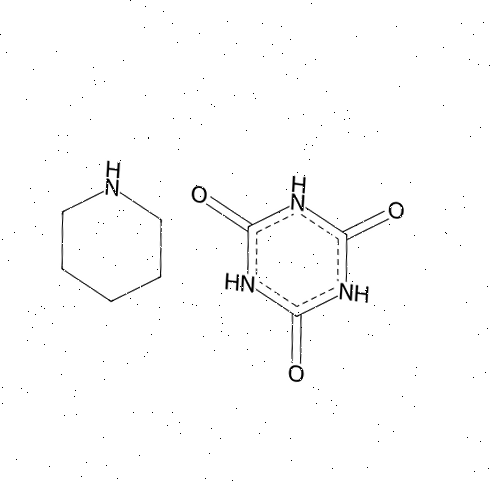 C1CCNCC1.O=c1[nH]c(=O)[nH]c(=O)[nH]1